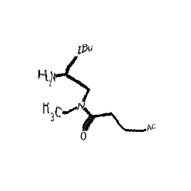 CC(=O)CCC(=O)N(C)CC(N)C(C)(C)C